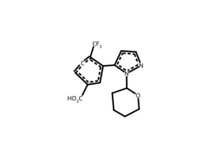 O=C(O)c1ccc(C(F)(F)F)c(-c2ccnn2C2CCCCO2)c1